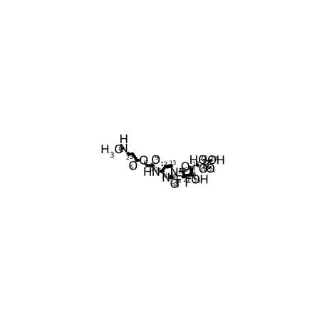 CNCCC(=O)OCC(=O)Nc1ccn([C@@H]2O[C@H](COP(=O)(O)O)[C@@H](O)C2(F)F)c(=O)n1